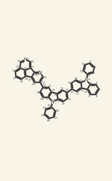 c1ccc(-n2c3ccccc3c3cc(-c4ccc5c(c4)c4cc(-c6cnc7c(c6)-c6cccc8cncc-7c68)ccc4n5-c4ccccc4)ccc32)cc1